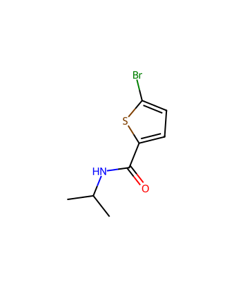 CC(C)NC(=O)c1ccc(Br)s1